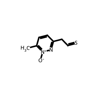 Cc1ccc(C[C]=S)n[n+]1[O-]